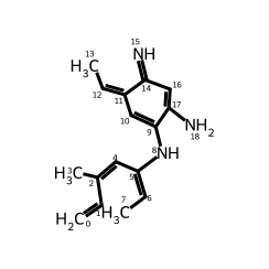 C=C/C(C)=C\C(=C/C)NC1=C/C(=C/C)C(=N)C=C1N